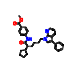 COC(=O)c1ccc(NC(=O)C(CCCCn2cc(-c3ccccc3)c3cccnc32)C2CCCC2)cc1